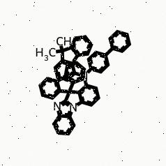 CC1(C)c2ccccc2-c2c(N(c3ccc(-c4ccccc4)cc3)c3cccc4c3C3(c5ccccc5-c5ccccc53)c3nc5ccccc5n3-4)cccc21